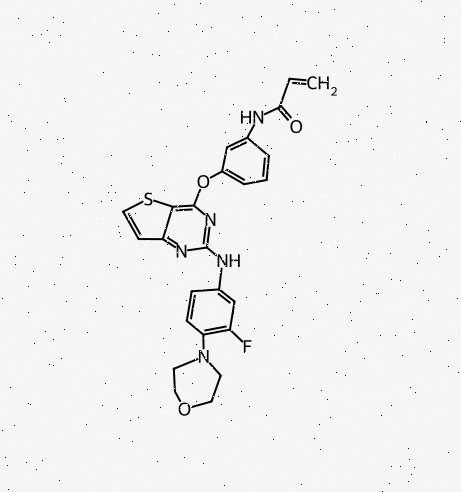 C=CC(=O)Nc1cccc(Oc2nc(Nc3ccc(N4CCOCC4)c(F)c3)nc3ccsc23)c1